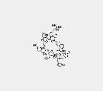 CCNC(=O)[C@@H]1CCCN1C(=O)[C@H](CCCNC(=N)N)NC(=O)[C@H](CC(C)C)NC(=O)CCNC(=O)[C@H](Cc1ccc(O)cc1)NC(=O)[C@H](CO)NC(=O)[C@H](Cc1c[nH]c2ccccc12)NC(=O)[C@H](Cc1c[nH]cn1)NC(=O)[C@@H]1CCC(=O)N1